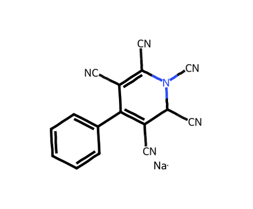 N#CC1=C(C#N)N(C#N)C(C#N)C(C#N)=C1c1ccccc1.[Na]